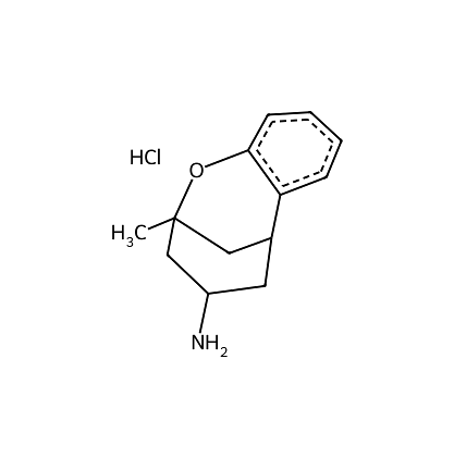 CC12CC(N)CC(C1)c1ccccc1O2.Cl